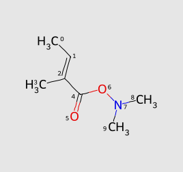 C/C=C(\C)C(=O)ON(C)C